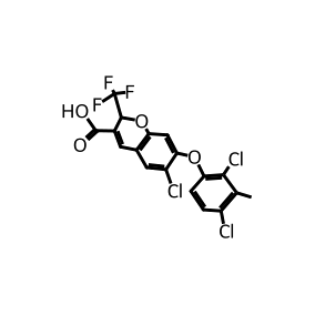 Cc1c(Cl)ccc(Oc2cc3c(cc2Cl)C=C(C(=O)O)C(C(F)(F)F)O3)c1Cl